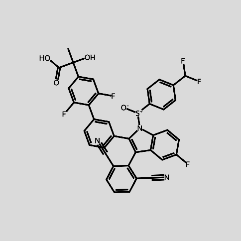 CC(O)(C(=O)O)c1cc(F)c(-c2cccc(-c3c(-c4c(C#N)cccc4C#N)c4cc(F)ccc4n3[S+]([O-])c3ccc(C(F)F)cc3)c2)c(F)c1